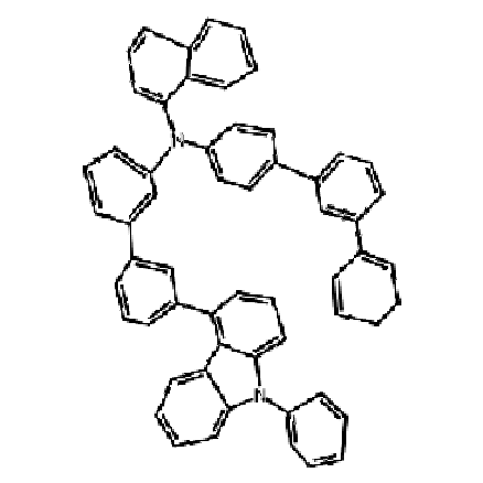 C1=CC(c2cccc(-c3ccc(N(c4cccc(-c5cccc(-c6cccc7c6c6ccccc6n7-c6ccccc6)c5)c4)c4cccc5ccccc45)cc3)c2)=CCC1